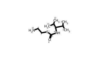 CC(C)C(NC(=O)SCCN)C(C)C